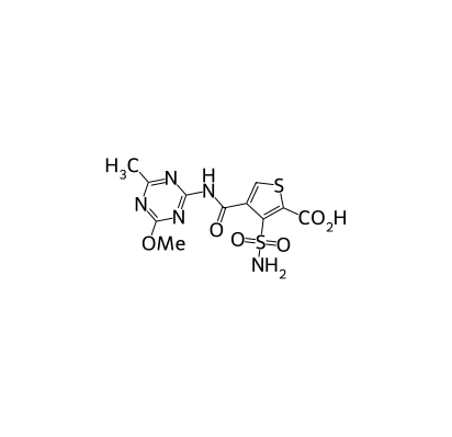 COc1nc(C)nc(NC(=O)c2csc(C(=O)O)c2S(N)(=O)=O)n1